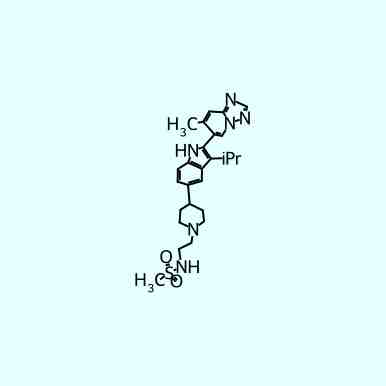 Cc1cc2ncnn2cc1-c1[nH]c2ccc(C3CCN(CCNS(C)(=O)=O)CC3)cc2c1C(C)C